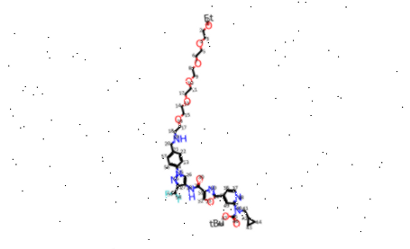 CCOCCOCCOCCOCCOCCOCCNCc1ccc(-n2cc(NC(=O)c3coc(-c4ccnc(N(CC5CC5)C(=O)OC(C)(C)C)c4)n3)c(C(F)F)n2)cc1